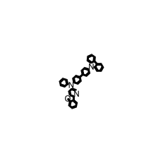 c1ccc(N(c2ccc(-c3ccc(-n4c5ccccc5c5ccccc54)cc3)cc2)c2cnc3c(c2)oc2ccccc23)cc1